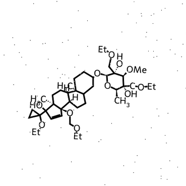 CCOCO[C@@]12C=CC(O)(C3(OCC)CC3)[C@@]1(C)CC[C@@H]1[C@H]2CCC2CC(O[C@@H]3O[C@H](C)[C@](O)(COCC)[C@H](OC)[C@]3(O)COCC)CC[C@@]21C